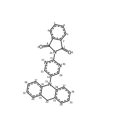 O=C1c2ccccc2C(=O)N1c1ncc(N2c3ccccc3Cc3ccccc32)cn1